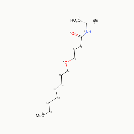 CC[C@H](C)[C@H](NC(=O)CCCOCCCCCCCOC)C(=O)O